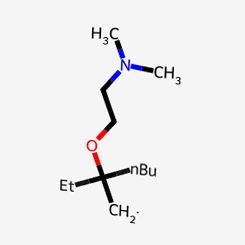 [CH2]C(CC)(CCCC)OCCN(C)C